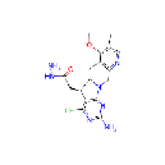 COc1c(C)cnc(CN2C[C@H](CC(=O)NN)c3c(Cl)nc(N)nc32)c1C